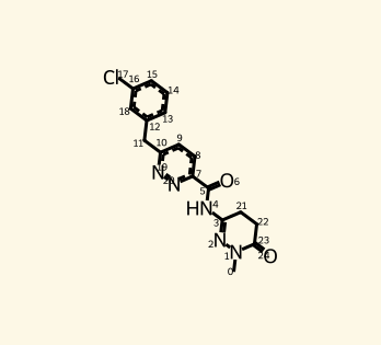 CN1N=C(NC(=O)c2ccc(Cc3cccc(Cl)c3)nn2)CCC1=O